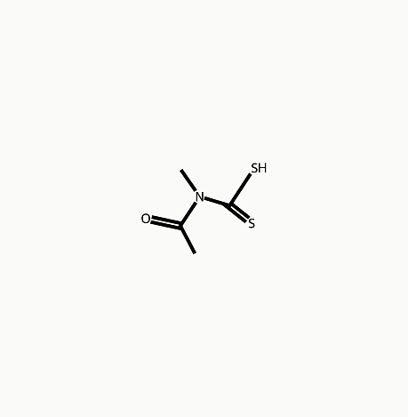 CC(=O)N(C)C(=S)S